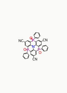 N#Cc1cc2c3c(c1)P(=O)(c1ccccc1)c1cc(C#N)cc4c1N3c1c(cc(C#N)cc1P4(=O)c1ccccc1)P2(=O)c1ccccc1